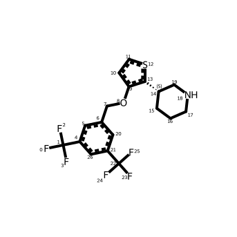 FC(F)(F)c1cc(COc2ccsc2[C@H]2CCCNC2)cc(C(F)(F)F)c1